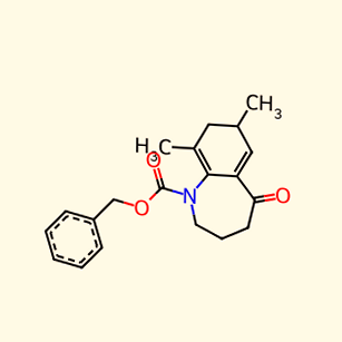 CC1=C2C(=CC(C)C1)C(=O)CCCN2C(=O)OCc1ccccc1